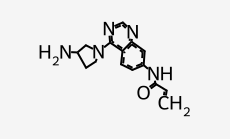 C=CC(=O)Nc1ccc2c(N3CCC(N)C3)ncnc2c1